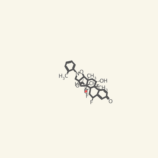 Cc1ccccc1N1C[C@@H]2C[C@@]3(C)[C@@H]4C[C@H](F)C5=CC(=O)C=C[C@]5(C)[C@@]4(F)[C@@H](O)C[C@]3(C)[C@]2(C(=O)SCF)O1